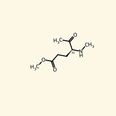 CN[C@@H](CCC(=O)OC)C(C)=O